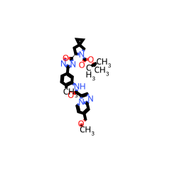 COCc1ccn2c(C(=O)Nc3cc(-c4noc([C@@H]5CC6(CC6)CN5C(=O)OC(C)(C)C)n4)ccc3C)cnc2c1